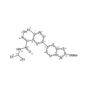 CCc1ncc(-c2ccc3nc(NC)sc3c2)cc1/C(=N\S)C(=O)NC(CC)CC